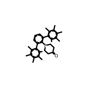 Cc1c(C)c(C)c(-c2cccc(-c3c(C)c(C)c(C)c(C)c3C)c2P2CCC(=O)CC2)c(C)c1C